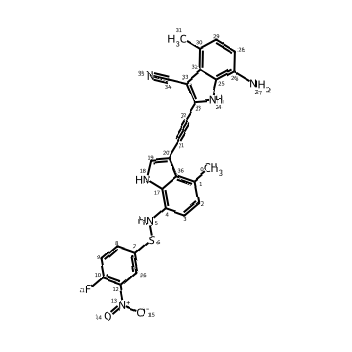 Cc1ccc(NSc2ccc(F)c([N+](=O)[O-])c2)c2[nH]cc(C#Cc3[nH]c4c(N)ccc(C)c4c3C#N)c12